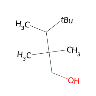 CC(C(C)(C)C)C(C)(C)CO